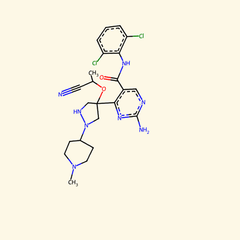 CC(C#N)OC1(c2nc(N)ncc2C(=O)Nc2c(Cl)cccc2Cl)CNN(C2CCN(C)CC2)C1